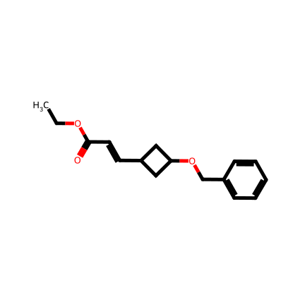 CCOC(=O)/C=C/C1CC(OCc2ccccc2)C1